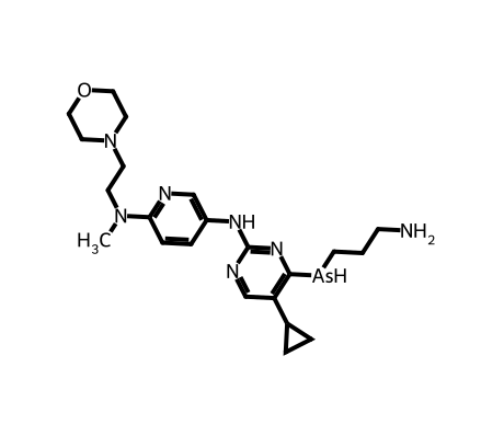 CN(CCN1CCOCC1)c1ccc(Nc2ncc(C3CC3)c([AsH]CCCN)n2)cn1